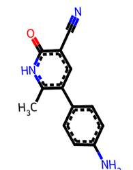 Cc1[nH]c(=O)c(C#N)cc1-c1ccc(N)cc1